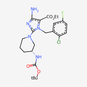 CCOC(=O)c1c(N)nc(N2CCC[C@@H](NC(=O)OC(C)(C)C)C2)n1Cc1cc(F)ccc1Cl